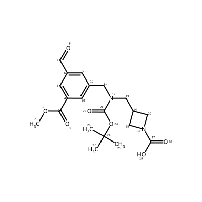 COC(=O)c1cc(C=O)cc(CN(CC2CN(C(=O)O)C2)C(=O)OC(C)(C)C)c1